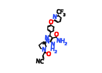 N#CC=CC(=O)N1CCC[C@@H](n2nc(-c3ccc(Oc4cccc(C(F)(F)F)n4)cc3)c(C(N)=O)c2N)C1